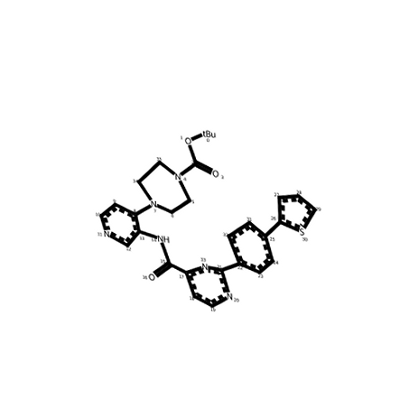 CC(C)(C)OC(=O)N1CCN(c2ccncc2NC(=O)c2ccnc(-c3ccc(-c4cccs4)cc3)n2)CC1